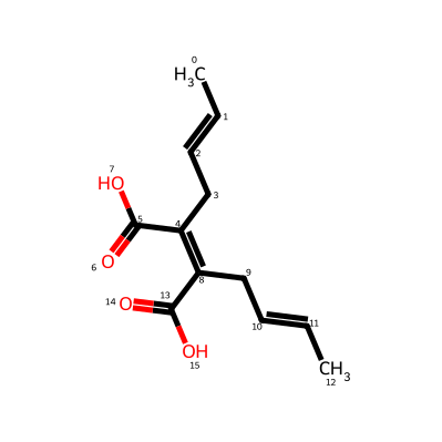 CC=CC/C(C(=O)O)=C(\CC=CC)C(=O)O